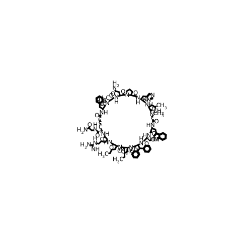 CCCCC1C(O)N(C)C(CCCC)C(=O)NC(CCCNC(=N)N)C(=O)N[C@H](C(=O)NCC(N)=O)CSCC(=O)NC(Cc2ccccc2)C(=O)N(C)C(C)C(=O)NC(CC(N)=O)C(=O)N2CCCC2C(=O)NC(Cc2cnc[nH]2)C(=O)NC(CC(C)C)C(=O)N(C)CC(=O)NC(Cc2c[nH]c3ccccc23)C(=O)N[C@@H](CO)C(=O)NC(C(c2ccccc2)c2ccccc2)C(=O)N1C